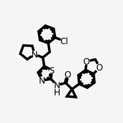 O=C(Nc1ncc(C(Cc2ccccc2Cl)N2CCCC2)s1)C1(c2ccc3c(c2)OCO3)CC1